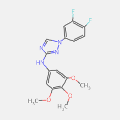 COc1cc(Nc2ncn(-c3ccc(F)c(F)c3)n2)cc(OC)c1OC